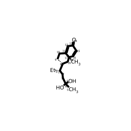 CC[C@@H](CCC(C)(O)O)[C@@H]1CCC2=CC(=O)C=C[C@]2(C)C1